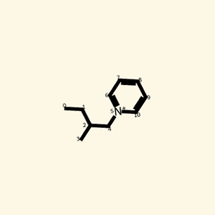 CCC(C)C[n+]1ccccc1